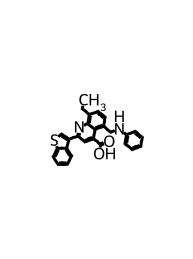 CCc1ccc(CNc2ccccc2)c2c(C(=O)O)cc(-c3csc4ccccc34)nc12